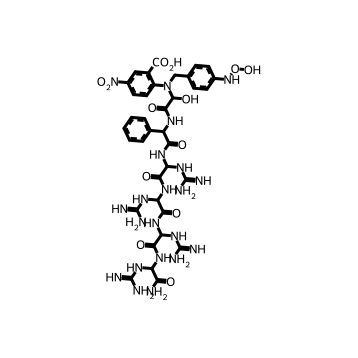 N=C(N)NC(NC(=O)C(NC(=N)N)NC(=O)C(NC(=N)N)NC(=O)C(NC(=N)N)NC(=O)C(NC(=O)C(O)N(Cc1ccc(NOO)cc1)c1ccc([N+](=O)[O-])cc1C(=O)O)c1ccccc1)C(N)=O